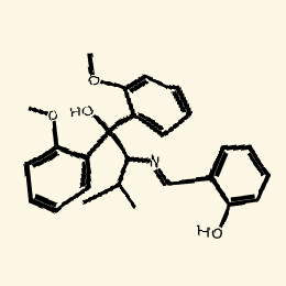 COc1ccccc1C(O)(c1ccccc1OC)C(N=Cc1ccccc1O)C(C)C